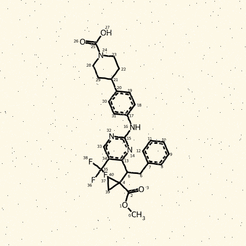 COC(=O)C1(C(Cc2ccccc2)c2nc(Nc3ccc(C4CCN(C(=O)O)CC4)cc3)ncc2C(F)(F)F)CC1